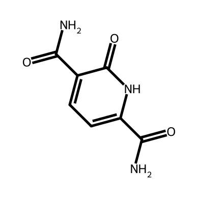 NC(=O)c1ccc(C(N)=O)c(=O)[nH]1